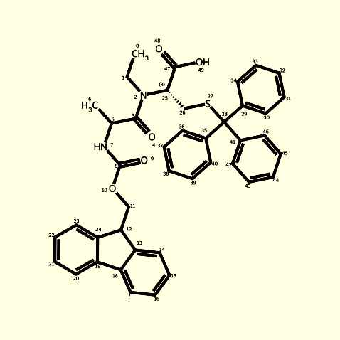 CCN(C(=O)C(C)NC(=O)OCC1c2ccccc2-c2ccccc21)[C@@H](CSC(c1ccccc1)(c1ccccc1)c1ccccc1)C(=O)O